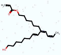 C=CC(=O)OCCCCCCC(=C/C=C\C)/C=C/CCCCCCO